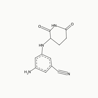 N#Cc1cc(N)cc(NC2CCC(=O)NC2=O)c1